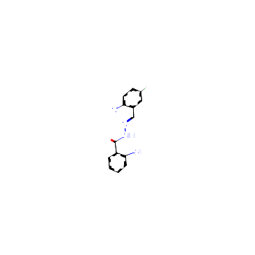 Nc1ccc(Cl)cc1C=NNC(=O)c1ccccc1N